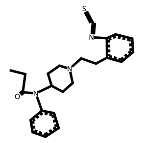 CCC(=O)N(c1ccccc1)C1CCN(CCc2ccccc2N=C=S)CC1